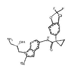 CC(C)(C)c1cc2cc(NC(=O)C3(c4ccc5c(c4)OC(F)(F)O5)CC3)ccc2n1C[C@@H](O)CN